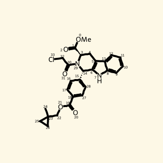 COC(=O)[C@H]1Cc2c([nH]c3ccccc23)[C@H](c2ccc(C(=O)OCC3(C)CC3)cc2)N1C(=O)CCl